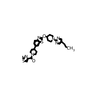 CCCc1cnc(N2CCC(Oc3nc4ccc(C5=CCN(C(=O)c6csnn6)CC5)cc4s3)CC2)nc1